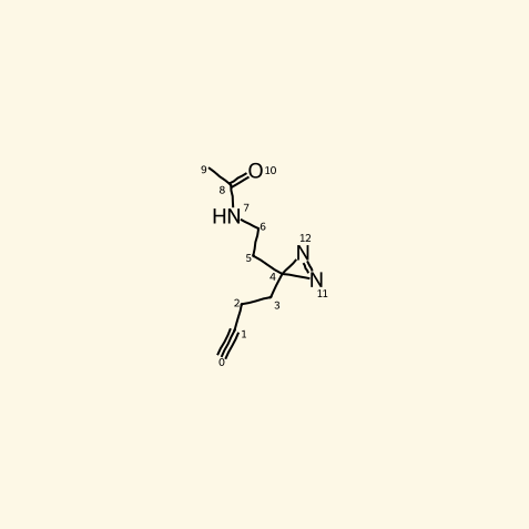 C#CCCC1(CCNC(C)=O)N=N1